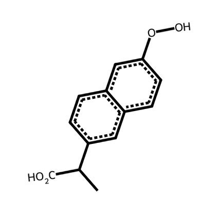 CC(C(=O)O)c1ccc2cc(OO)ccc2c1